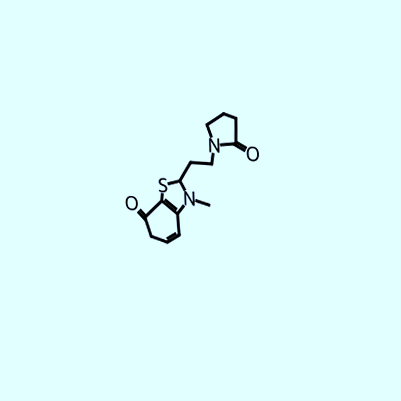 CN1C2=C(SC1CCN1CCCC1=O)C(=O)CC=C2